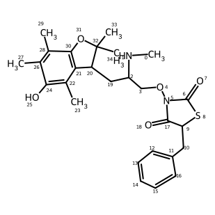 CNC(CON1C(=O)SC(Cc2ccccc2)C1=O)CC1c2c(C)c(O)c(C)c(C)c2OC1(C)C